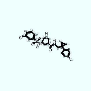 O=C(NCC1(c2ccc(Cl)cc2)CC1)[C@@H]1CNC[C@H](NS(=O)(=O)c2cccc(Cl)c2)C1